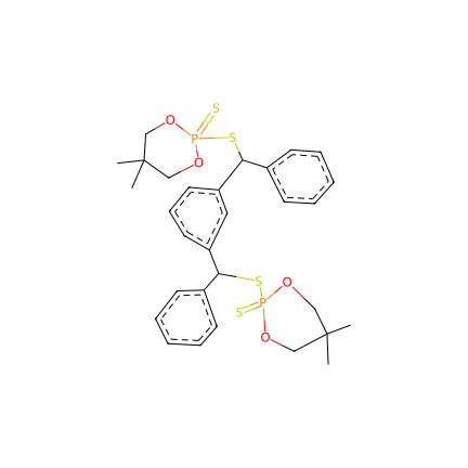 CC1(C)COP(=S)(SC(c2ccccc2)c2cccc(C(SP3(=S)OCC(C)(C)CO3)c3ccccc3)c2)OC1